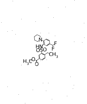 CCc1ccc(C(=O)OC)cc1S(=O)(=O)Nc1cc(C(F)F)ccc1N1CCCCC1